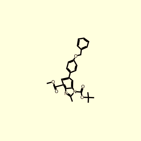 COC(=O)c1cc(-c2ccc(OCc3ccccc3)cc2)cc2c1nc(C)n2C(=O)OC(C)(C)C